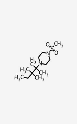 CCC(C)(C)C(C)(C)N1CCN(S(C)(=O)=O)CC1